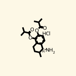 CC(C)C(=O)Oc1ccc2c(c1OC(=O)C(C)C)CCC(C)[C@H]2N.Cl